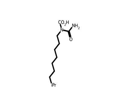 CC(C)CCCCCCCN(C(N)=O)C(=O)O